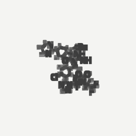 CC(C)(C)C[C@]1(c2ccc(-c3ncccn3)cc2)NC(=N)N([C@H](COC(=O)NC(C)(C)C(F)F)c2ccc(Cl)c(-c3ncnn3C(F)F)c2)C1=O